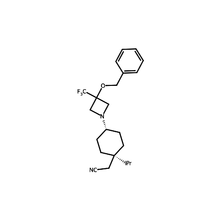 CC(C)[C@]1(CC#N)CC[C@H](N2CC(OCc3ccccc3)(C(F)(F)F)C2)CC1